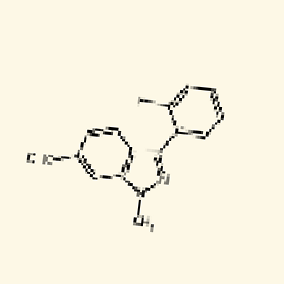 Cn1nc(-c2ccccc2F)c2ccc(C=O)cc21